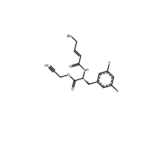 C#CCOC(=O)[C@H](Cc1cc(F)cc(F)c1)NC(=O)/C=C/CC(C)CC